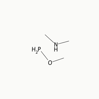 CNC.COP